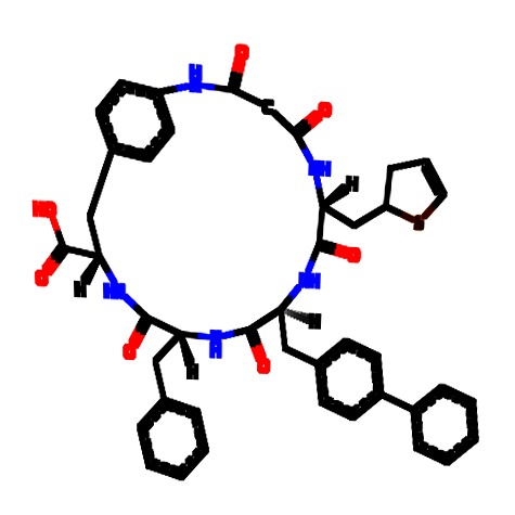 O=C1CC(=O)N[C@H](CC2CC=CS2)C(=O)N[C@@H](Cc2ccc(-c3ccccc3)cc2)C(=O)N[C@H](Cc2ccccc2)C(=O)N[C@H](C(=O)O)Cc2ccc(cc2)N1